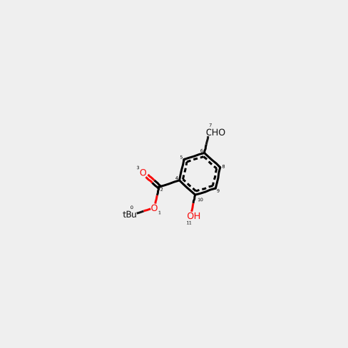 CC(C)(C)OC(=O)c1cc(C=O)ccc1O